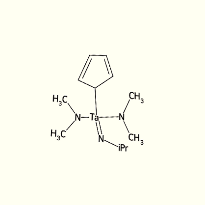 CC(C)[N]=[Ta]([CH]1C=CC=C1)([N](C)C)[N](C)C